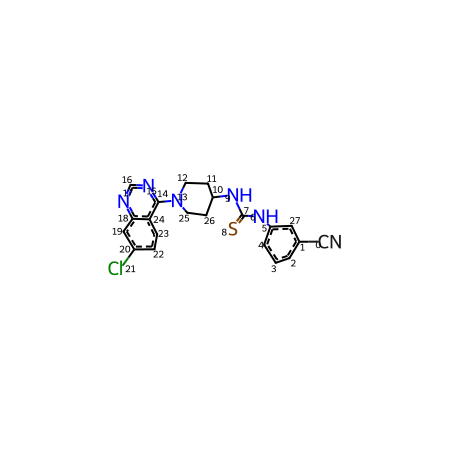 N#Cc1cccc(NC(=S)NC2CCN(c3ncnc4cc(Cl)ccc34)CC2)c1